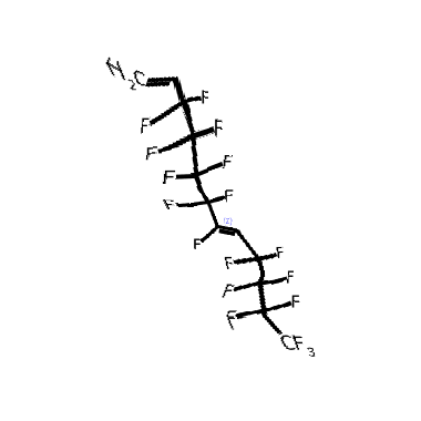 C=CC(F)(F)C(F)(F)C(F)(F)C(F)(F)/C(F)=C/C(F)(F)C(F)(F)C(F)(F)C(F)(F)F